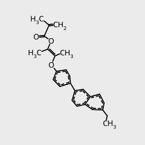 C=C(C)C(=O)O/C(C)=C(\C)Oc1ccc(-c2ccc3cc(CC)ccc3c2)cc1